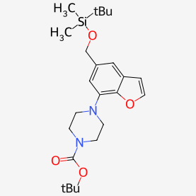 CC(C)(C)OC(=O)N1CCN(c2cc(CO[Si](C)(C)C(C)(C)C)cc3ccoc23)CC1